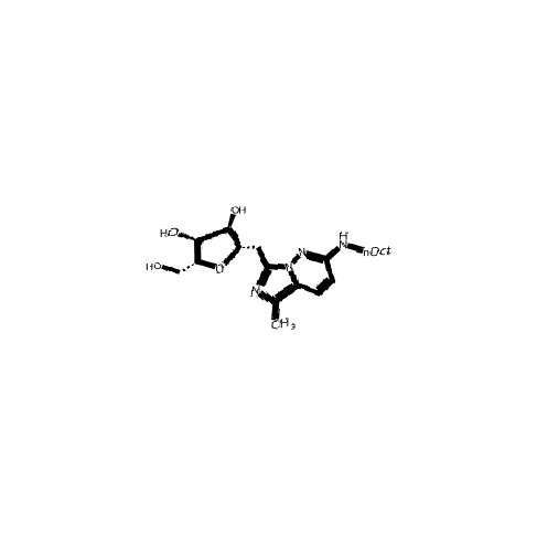 CCCCCCCCNc1ccc2c(C)nc(C[C@@H]3O[C@H](CO)[C@@H](O)[C@H]3O)n2n1